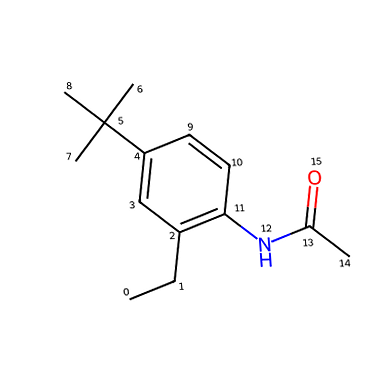 CCc1cc(C(C)(C)C)ccc1NC(C)=O